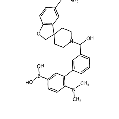 CN(C)c1ccc(B(O)O)cc1-c1cccc(C(O)N2CCC3(CC2)COc2ccc(CN)cc23)c1